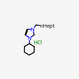 CCCCCCCCN1C=CN(C2CCCCC2)C1.Cl